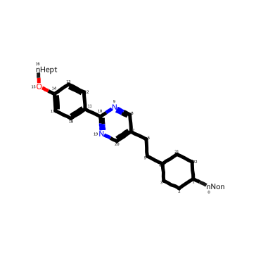 CCCCCCCCCC1CCC(CCc2cnc(-c3ccc(OCCCCCCC)cc3)nc2)CC1